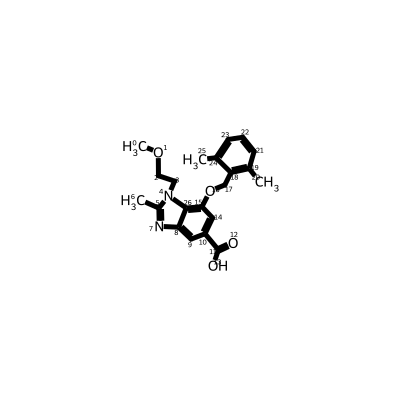 COCCn1c(C)nc2cc(C(=O)O)cc(OCc3c(C)cccc3C)c21